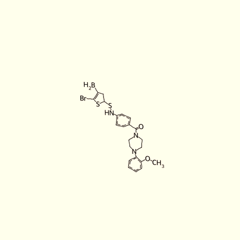 BC1=C(Br)SC(SNc2ccc(C(=O)N3CCN(c4ccccc4OC)CC3)cc2)C1